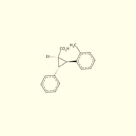 CC[C@@]1(C(=O)O)[C@@H](c2ccccc2)[C@@H]1c1ccccc1C